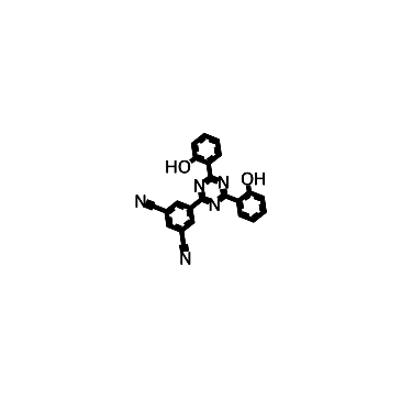 N#Cc1cc(C#N)cc(-c2nc(-c3ccccc3O)nc(-c3ccccc3O)n2)c1